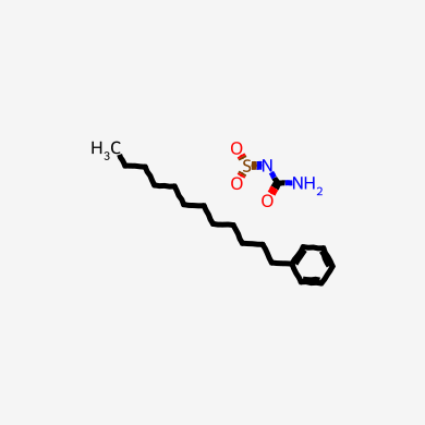 CCCCCCCCCCCCc1ccccc1.NC(=O)N=S(=O)=O